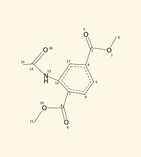 COC(=O)c1ccc(C(=O)OC)c(NC(C)=O)c1